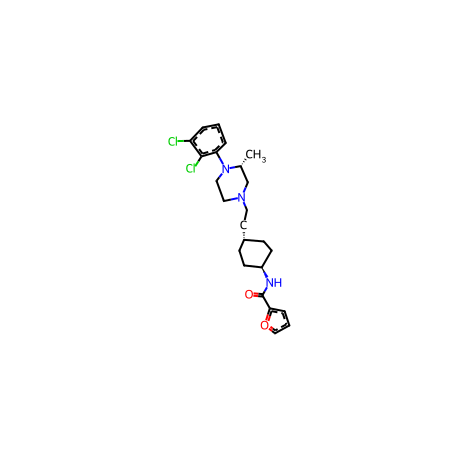 C[C@@H]1CN(CC[C@H]2CC[C@H](NC(=O)c3ccco3)CC2)CCN1c1cccc(Cl)c1Cl